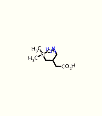 C[Si](C)(C)CC(CN)CC(=O)O